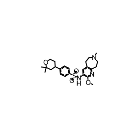 COc1nc2c(cc1NS(=O)(=O)c1ccc(C3CCOC(C)(C)C3)cc1)CCN(C)CC2